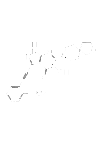 COc1ccccc1C#Cc1n[nH]c2nc(N3CCC4(CCOC4)CC3)n(C)c(=O)c12